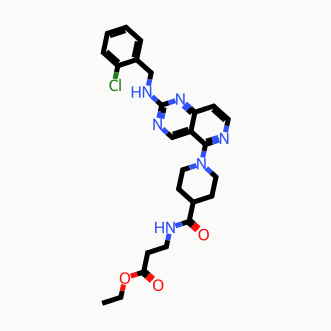 CCOC(=O)CCNC(=O)C1CCN(c2nccc3nc(NCc4ccccc4Cl)ncc23)CC1